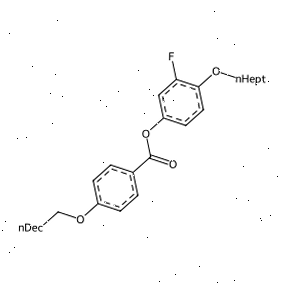 CCCCCCCCCCCOc1ccc(C(=O)Oc2ccc(OCCCCCCC)c(F)c2)cc1